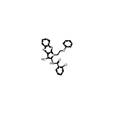 N#Cc1c(NC(=O)c2ccccc2Cl)n(CCOc2ccccc2)c2nc3ccccc3nc12